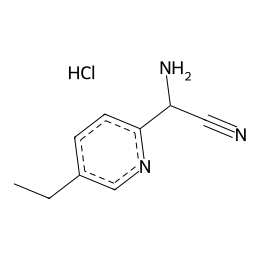 CCc1ccc(C(N)C#N)nc1.Cl